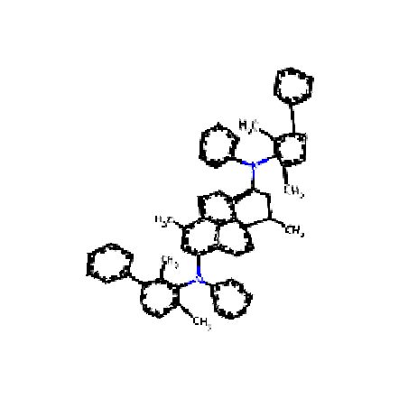 Cc1ccc(-c2ccccc2)c(C)c1N(C1=c2ccc3c(C)cc(N(c4ccccc4)c4c(C)ccc(-c5ccccc5)c4C)c4ccc(c2c34)C(C)C1)c1ccccc1